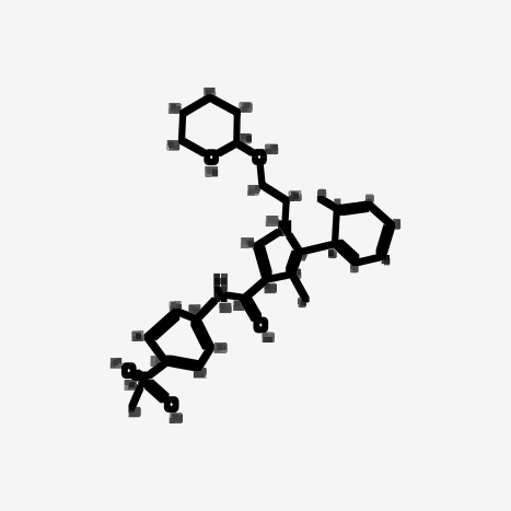 Cc1ccccc1-c1c(C)c(C(=O)Nc2ccc(S(C)(=O)=O)cc2)cn1CCOC1CCCCO1